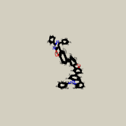 c1ccc(-c2nc(-c3ccccc3)c3c(n2)oc2ccc(-c4ccc5oc6ccc(-c7ccc8c(c7)c7ccccc7n8-c7ccccc7)cc6c5c4)cc23)cc1